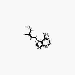 CC(=CCn1cnc2ncnc(N)c21)CO